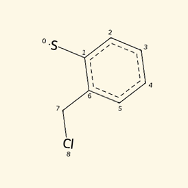 [S]c1ccccc1CCl